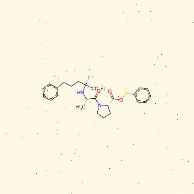 CCOC(=O)C(F)(CCCc1ccccc1)N[C@@H](C)C(=O)N1CCC[C@H]1C(=O)OSc1ccccc1